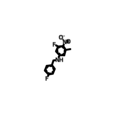 Cc1cc(NCc2ccc(F)cc2)cc(F)c1[N+](=O)[O-]